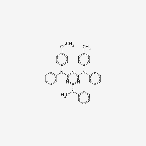 COc1ccc(N(c2ccccc2)c2nc(N(C)c3ccccc3)nc(N(c3ccccc3)c3ccc(C)cc3)n2)cc1